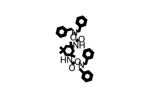 CC1(C)CC(C)(NC(=O)ON(Cc2ccccc2)Cc2ccccc2)CC(C)(NC(=O)ON(Cc2ccccc2)Cc2ccccc2)C1